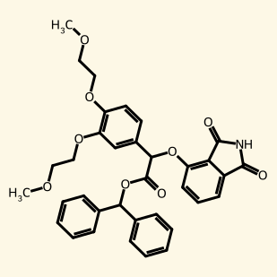 COCCOc1ccc(C(Oc2cccc3c2C(=O)NC3=O)C(=O)OC(c2ccccc2)c2ccccc2)cc1OCCOC